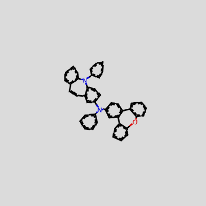 C1=Cc2cc(N(c3ccccc3)c3ccc4c(c3)-c3ccccc3Oc3ccccc3-4)ccc2N(c2ccccc2)c2ccccc21